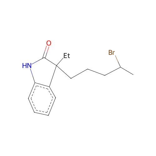 CCC1(CCCC(C)Br)C(=O)Nc2ccccc21